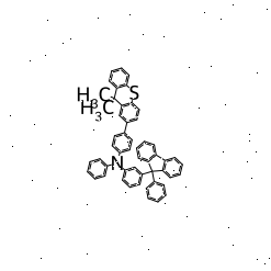 CC1(C)c2ccccc2Sc2ccc(-c3ccc(N(c4ccccc4)c4cccc(C5(c6ccccc6)c6ccccc6-c6ccccc65)c4)cc3)cc21